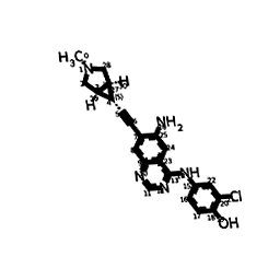 CN1C[C@@H]2[C@@H](C#Cc3cc4ncnc(Nc5ccc(O)c(Cl)c5)c4cc3N)[C@@H]2C1